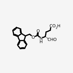 O=C[C@@H](CCC(=O)O)NC(=O)OCC1c2ccccc2-c2ccccc21